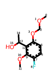 COCOc1ccc(F)c(OC)c1C(C)O